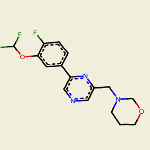 Fc1ccc(-c2cncc(CN3CCCOC3)n2)cc1OC(F)F